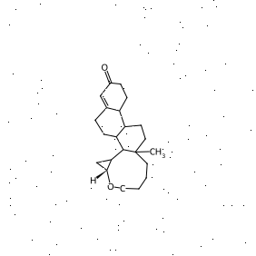 CC12CCCCO[C@@H]3CC3C1C1CCC3=CC(=O)CCC3C1CC2